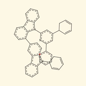 C1=CCC(c2cc(-c3ccccc3)nc(-n3c4ccccc4c4cccc(-c5ccc6c(c5)c5ccccc5n6C5C=CC=CC5)c43)c2)C=C1